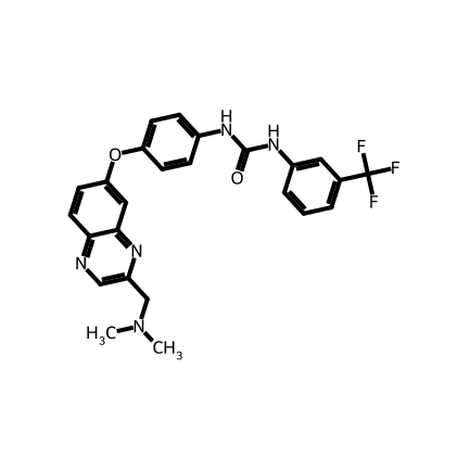 CN(C)Cc1cnc2ccc(Oc3ccc(NC(=O)Nc4cccc(C(F)(F)F)c4)cc3)cc2n1